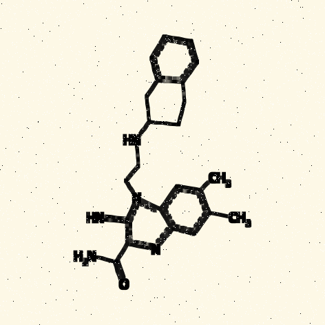 Cc1cc2nc(C(N)=O)c(=N)n(CCNC3CCc4ccccc4C3)c2cc1C